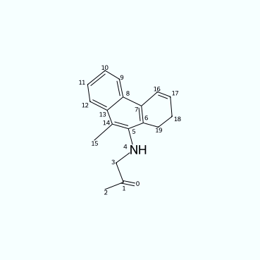 C=C(C)CNc1c2c(c3ccccc3c1C)C=CCC2